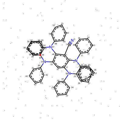 N#Cc1c(N(c2ccccc2)c2ccccc2)c(N(c2ccccc2)c2ccccc2)cc(N(c2ccccc2)c2ccccc2)c1N(c1ccccc1)c1ccccc1